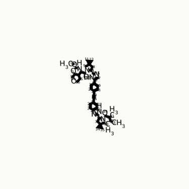 COC(=O)N[C@H](C(=O)N1CC2(CC2)C[C@H]1c1ncc(-c2ccc(C#Cc3ccc4nc([C@@H]5CC6(CC6)CN5C(=O)[C@@H](C)C(C)C)[nH]c4c3)cc2)[nH]1)C1CCOCC1